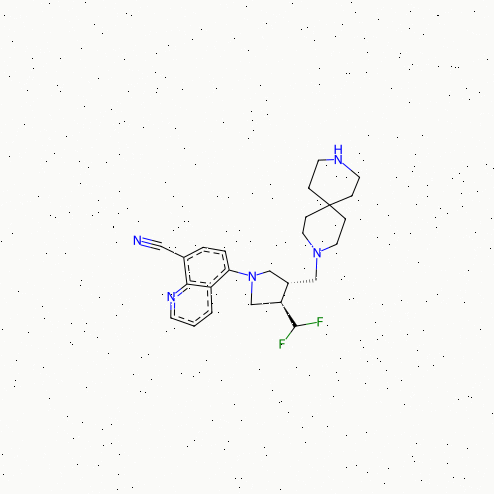 N#Cc1ccc(N2C[C@H](CN3CCC4(CCNCC4)CC3)[C@@H](C(F)F)C2)c2cccnc12